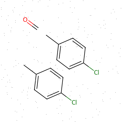 C=O.Cc1ccc(Cl)cc1.Cc1ccc(Cl)cc1